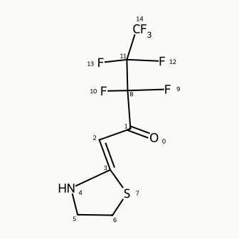 O=C(C=C1NCCS1)C(F)(F)C(F)(F)C(F)(F)F